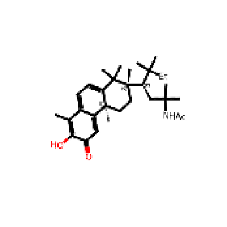 CCC(C)(C)[C@@H](CC(C)(C)NC(C)=O)[C@]1(C)CC[C@@]2(C)C3=CC(=O)C(O)=C(C)C3=CC=C2C1(C)C